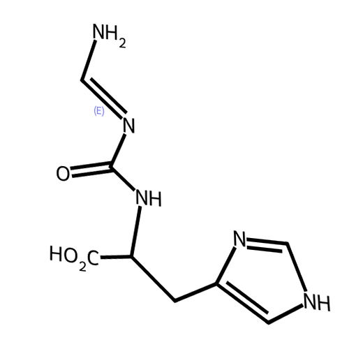 N/C=N/C(=O)NC(Cc1c[nH]cn1)C(=O)O